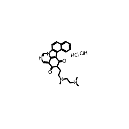 CN(C)CCN(C)CCC1C(=O)c2cncn3c2c(c2c4ccccc4ccc23)C1=O.Cl.Cl